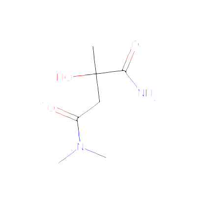 CN(C)C(=O)CC(C)(O)C(N)=O